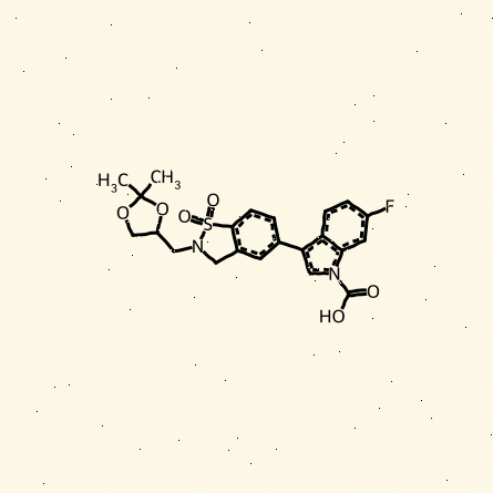 CC1(C)OCC(CN2Cc3cc(-c4cn(C(=O)O)c5cc(F)ccc45)ccc3S2(=O)=O)O1